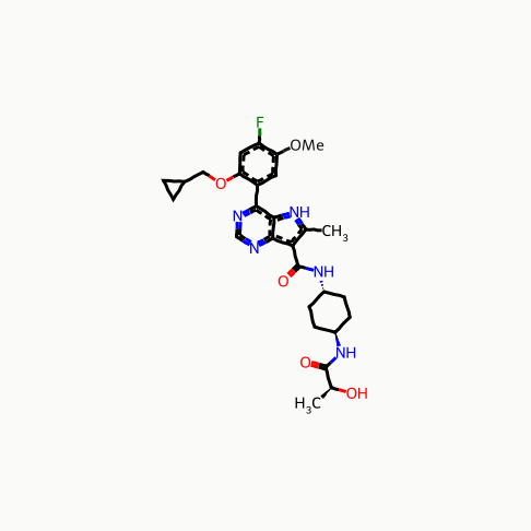 COc1cc(-c2ncnc3c(C(=O)N[C@H]4CC[C@H](NC(=O)[C@H](C)O)CC4)c(C)[nH]c23)c(OCC2CC2)cc1F